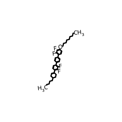 CCCCCCCCCOc1ccc(-c2ccc(-c3ccc(C4=CCC(CCCCC)CC4)c(F)c3F)cc2)c(F)c1F